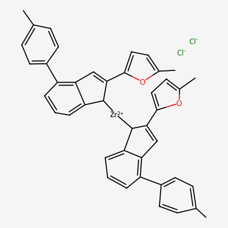 Cc1ccc(-c2cccc3c2C=C(c2ccc(C)o2)[CH]3[Zr+2][CH]2C(c3ccc(C)o3)=Cc3c(-c4ccc(C)cc4)cccc32)cc1.[Cl-].[Cl-]